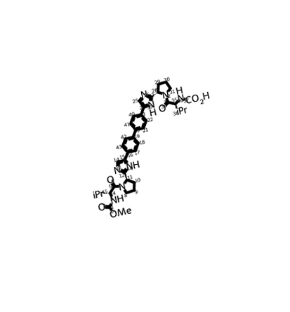 COC(=O)N[C@@H](C(=O)N1CCC[C@@H]1c1ncc(-c2ccc(-c3ccc(-c4cnc([C@@H]5CCCN5C(=O)[C@@H](NC(=O)O)C(C)C)[nH]4)cc3)cc2)[nH]1)C(C)C